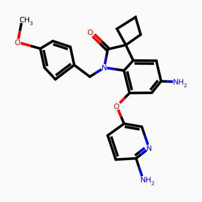 COc1ccc(CN2C(=O)C3(CCC3)c3cc(N)cc(Oc4ccc(N)nc4)c32)cc1